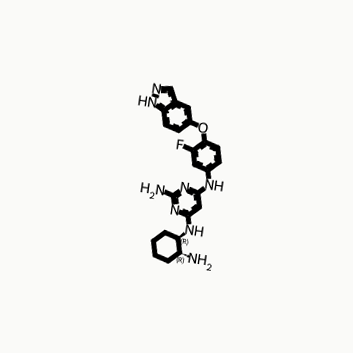 Nc1nc(Nc2ccc(Oc3ccc4[nH]ncc4c3)c(F)c2)cc(N[C@@H]2CCCC[C@H]2N)n1